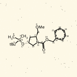 COC[C@@H]1C[C@@H](O[Si](C)(C)C(C)(C)C)CN1C(=O)OCc1ccccc1